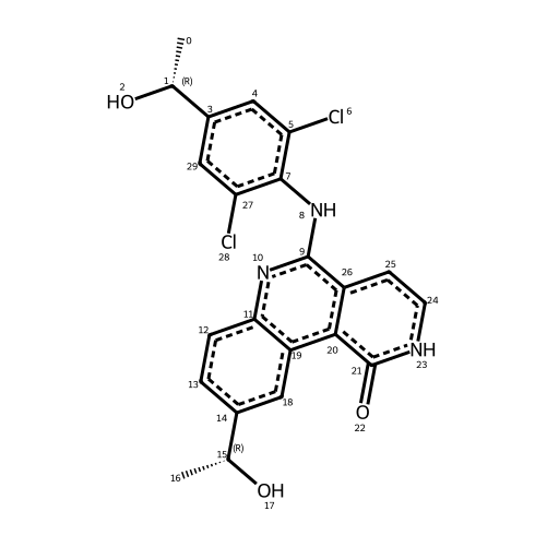 C[C@@H](O)c1cc(Cl)c(Nc2nc3ccc([C@@H](C)O)cc3c3c(=O)[nH]ccc23)c(Cl)c1